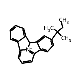 CCC(C)(C)c1ccc2c(c1)C1c3ccccc3-c3cccc-2[n+]31